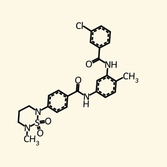 Cc1ccc(NC(=O)c2ccc(N3CCCN(C)S3(=O)=O)cc2)cc1NC(=O)c1cccc(Cl)c1